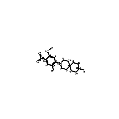 COc1cc(N2CCC3(CCN(C)CC3)CC2)c(C)cc1[N+](=O)[O-]